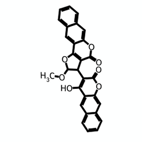 COC1Oc2c(c(=O)oc3cc4ccccc4cc23)C1c1c(O)c2cc3ccccc3cc2oc1=O